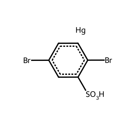 O=S(=O)(O)c1cc(Br)ccc1Br.[Hg]